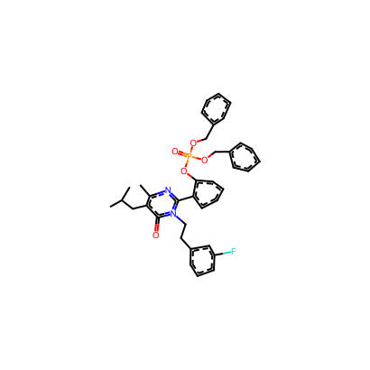 Cc1nc(-c2ccccc2OP(=O)(OCc2ccccc2)OCc2ccccc2)n(CCc2cccc(F)c2)c(=O)c1CC(C)C